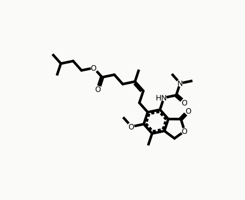 COc1c(C)c2c(c(NC(=O)N(C)C)c1CC=C(C)CCC(=O)OCCC(C)C)C(=O)OC2